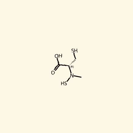 CN(S)[C@@H](CS)C(=O)O